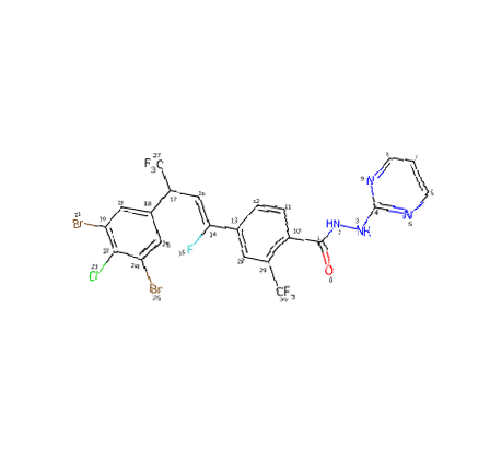 O=C(NNc1ncccn1)c1ccc(C(F)=CC(c2cc(Br)c(Cl)c(Br)c2)C(F)(F)F)cc1C(F)(F)F